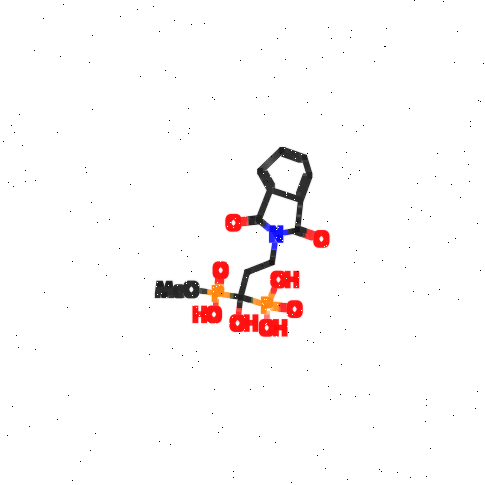 COP(=O)(O)C(O)(CCN1C(=O)c2ccccc2C1=O)P(=O)(O)O